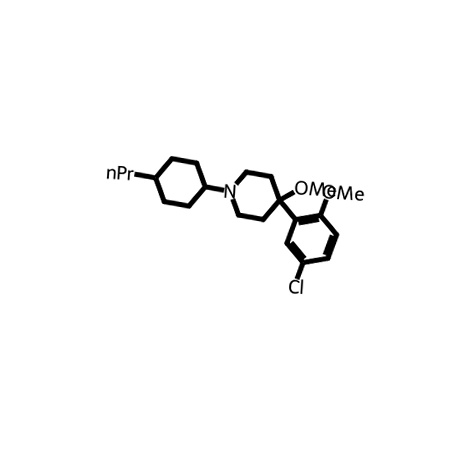 CCCC1CCC(N2CCC(OC)(c3cc(Cl)ccc3OC)CC2)CC1